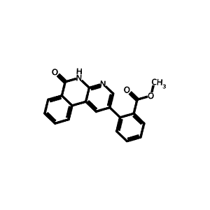 COC(=O)c1ccccc1-c1cnc2[nH]c(=O)c3ccccc3c2c1